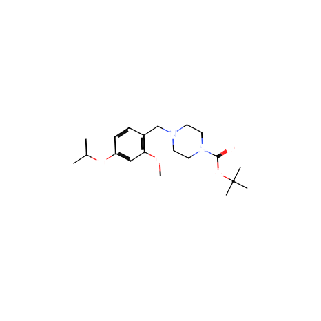 COc1cc(OC(C)C)ccc1CN1CCN(C(=O)OC(C)(C)C)CC1